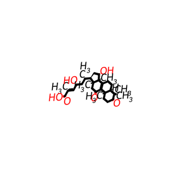 C/C(=C\[C@@H](O)C[C@@H](C)[C@H]1C[C@H](O)[C@@]2(C)C3=C(C(=O)C[C@]12C)[C@@]1(C)CCC(=O)C(C)(C)[C@@H]1CC3)C(=O)O